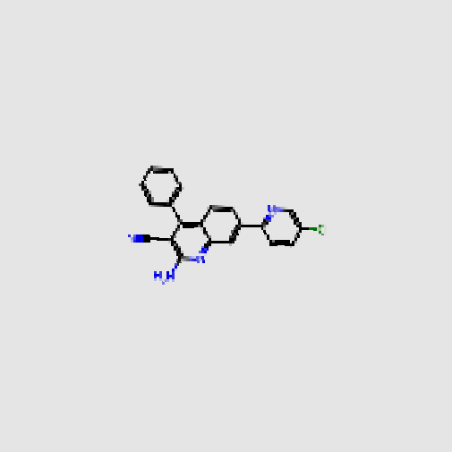 N#Cc1c(N)nc2cc(-c3ccc(Cl)cn3)ccc2c1-c1ccccc1